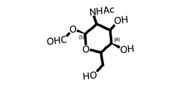 CC(=O)NC1C(O)[C@@H](O)C(CO)O[C@H]1OC=O